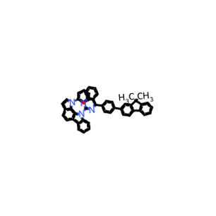 CC1(C)c2ccccc2-c2ccc(-c3ccc(-c4nc(-n5c6ccccc6c6ccc7ccn(-c8ccccc8)c7c65)nc5ccccc45)cc3)cc21